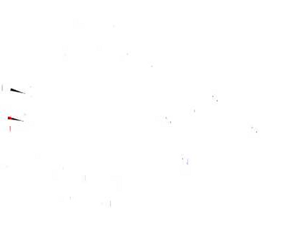 O=P1(O)OCCn2c(nc3cncnc32)COP(=O)(O)O[C@H]2CO[C@H](CO1)[C@H]2O